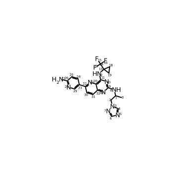 CC(Cn1cncn1)Nc1nc(NC2(C(F)(F)F)CC2)c2nc(-c3ccc(N)nc3)ccc2n1